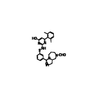 Cc1cccc(C)c1-c1cc(O)nc(NSc2cccc(C(=O)N3CCCN(C=O)CC3CC(C)C)c2)n1